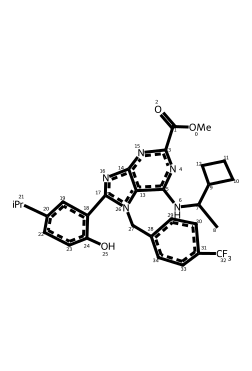 COC(=O)c1nc(NC(C)C2CCC2)c2c(n1)nc(-c1cc(C(C)C)ccc1O)n2Cc1ccc(C(F)(F)F)cc1